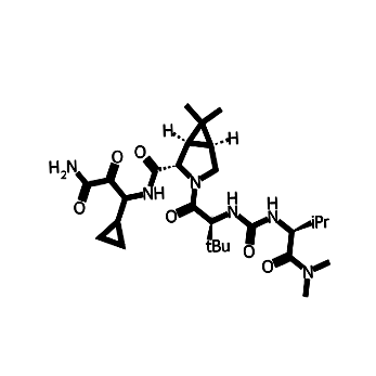 CC(C)[C@H](NC(=O)N[C@H](C(=O)N1C[C@H]2[C@@H]([C@H]1C(=O)NC(C(=O)C(N)=O)C1CC1)C2(C)C)C(C)(C)C)C(=O)N(C)C